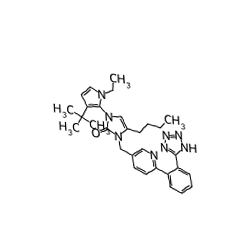 CCCCc1cn(-c2c(C(C)(C)C)ccn2CC)c(=O)n1Cc1ccc(-c2ccccc2-c2nnn[nH]2)nc1